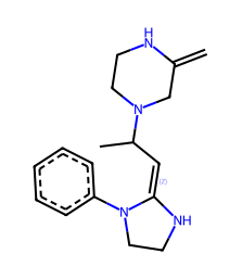 C=C1CN(C(C)/C=C2/NCCN2c2ccccc2)CCN1